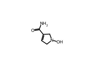 NC(=O)C1=CCN(O)C1